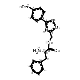 CCCCCCCCCCc1ccc(-c2noc(CNC(=O)[C@@H](N)Cc3ccccc3)n2)cc1